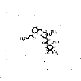 CCCC(=O)N1CCCC(CN2CC[C@H](NC(=O)c3cc(Cl)c(N)cc3OC)[C@H](OC)C2)C1